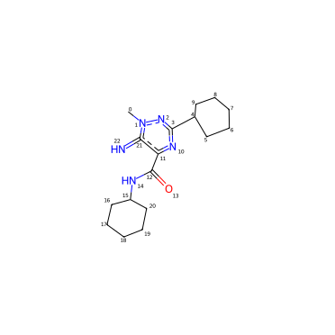 Cn1nc(C2CCCCC2)nc(C(=O)NC2CCCCC2)c1=N